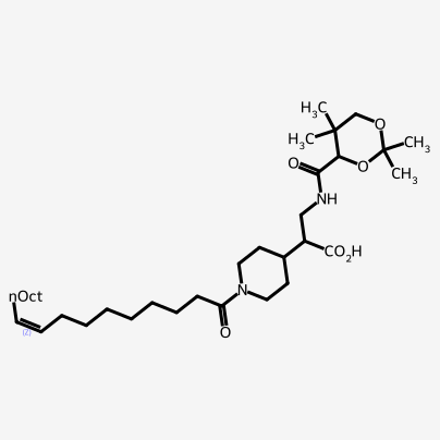 CCCCCCCC/C=C\CCCCCCCC(=O)N1CCC(C(CNC(=O)C2OC(C)(C)OCC2(C)C)C(=O)O)CC1